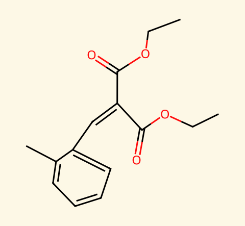 CCOC(=O)C(=Cc1ccccc1C)C(=O)OCC